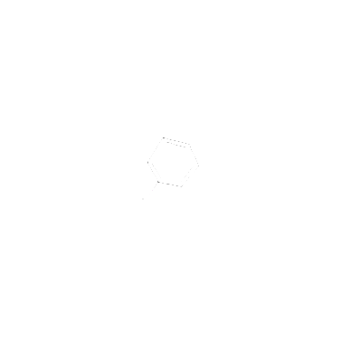 [P]c1ccccc1